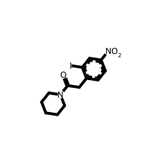 O=C(Cc1ccc([N+](=O)[O-])cc1I)N1CCCCC1